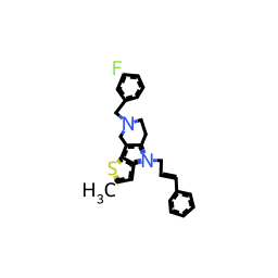 Cc1cc2c(s1)c1c(n2CC=Cc2ccccc2)CCN(Cc2cccc(F)c2)C1